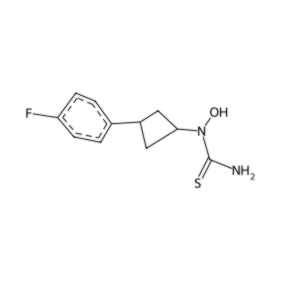 NC(=S)N(O)C1CC(c2ccc(F)cc2)C1